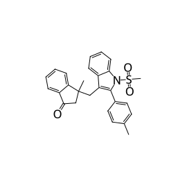 Cc1ccc(-c2c(CC3(C)CC(=O)c4ccccc43)c3ccccc3n2S(C)(=O)=O)cc1